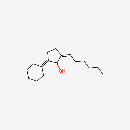 CCCCC/C=C1/CCC(=C2CCCCC2)C1O